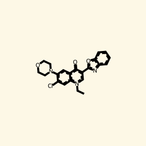 CCn1cc(-c2nc3ccccc3o2)c(=O)c2cc(N3CCOCC3)c(Cl)cc21